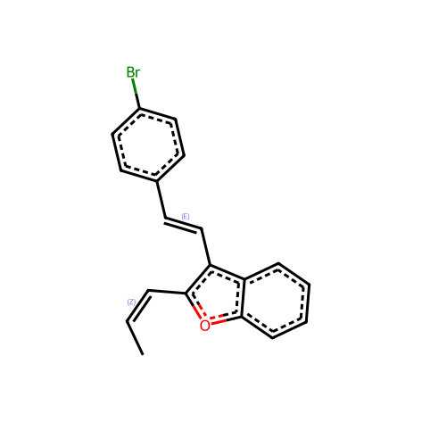 C/C=C\c1oc2ccccc2c1/C=C/c1ccc(Br)cc1